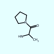 CC([NH])C(=O)N1CCCC1